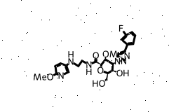 COc1ccc(NCCNC(=O)[C@@H]2O[C@H](CO)[C@H](O)[C@H](n3cc(-c4cccc(F)c4)nn3)[C@H]2OC)cn1